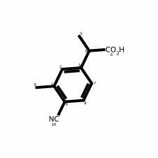 Cc1cc(C(C)C(=O)O)ccc1C#N